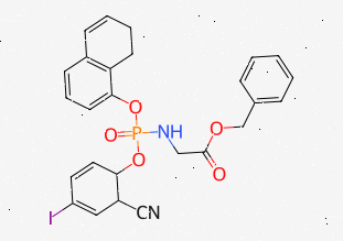 N#CC1C=C(I)C=CC1OP(=O)(NCC(=O)OCc1ccccc1)Oc1cccc2c1CCC=C2